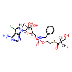 CC(C)(CO)C(=O)SCCOP(=O)(NCc1ccccc1)OC[C@H]1O[C@@H](n2cc(F)c3c(N)ncnc32)[C@](C)(O)[C@@H]1O